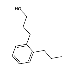 CCCc1ccccc1CCCO